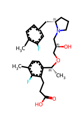 Cc1ccc(C[C@@H]2CCCN2C[C@@H](O)CO[C@H](C)c2ccc(C)c(F)c2CCC(=O)O)cc1F